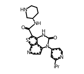 CC(C)c1cc(N2C(=O)Nc3c(C(=O)N[C@@H]4CCCNC4)sc4nccc2c34)ccn1